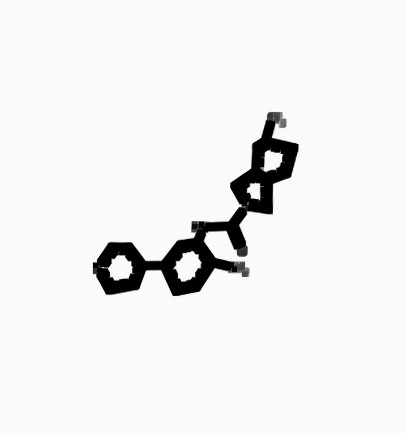 Nc1ccc(-c2ccncc2)cc1NC(=O)n1cc2ccc(C(F)(F)F)cc2c1